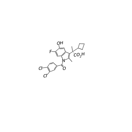 Cc1c([C@](C)(C(=O)O)C2CCC2)c2cc(O)c(F)cc2n1C(=O)c1ccc(Cl)c(Cl)c1